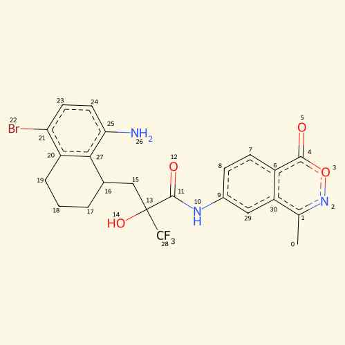 Cc1noc(=O)c2ccc(NC(=O)C(O)(CC3CCCc4c(Br)ccc(N)c43)C(F)(F)F)cc12